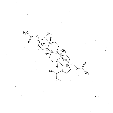 CC(=O)OC[C@]12CCC(C(C)C)=C1[C@H]1CC[C@@H]3[C@@]4(C)CC[C@H](OC(C)=O)[C@H](C)[C@@H]4CC[C@@]3(C)[C@]1(C)CC2